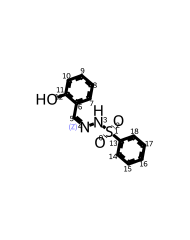 O=S(=O)(N/N=C\c1ccccc1O)c1ccccc1